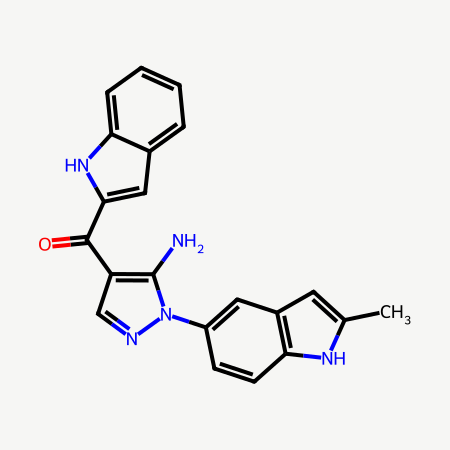 Cc1cc2cc(-n3ncc(C(=O)c4cc5ccccc5[nH]4)c3N)ccc2[nH]1